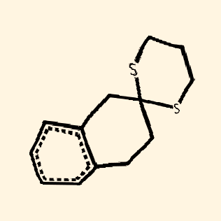 c1ccc2c(c1)CCC1(C2)SCCCS1